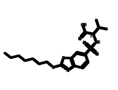 CCCCCCCSc1nc2ccc(S(=O)(=O)N[C@@H](C(=O)O)C(C)C)cc2s1